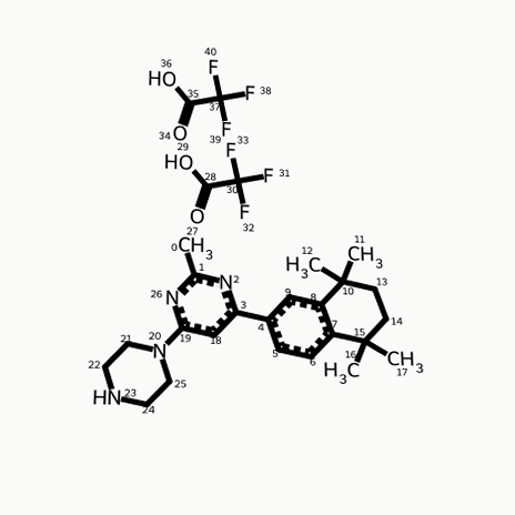 Cc1nc(-c2ccc3c(c2)C(C)(C)CCC3(C)C)cc(N2CCNCC2)n1.O=C(O)C(F)(F)F.O=C(O)C(F)(F)F